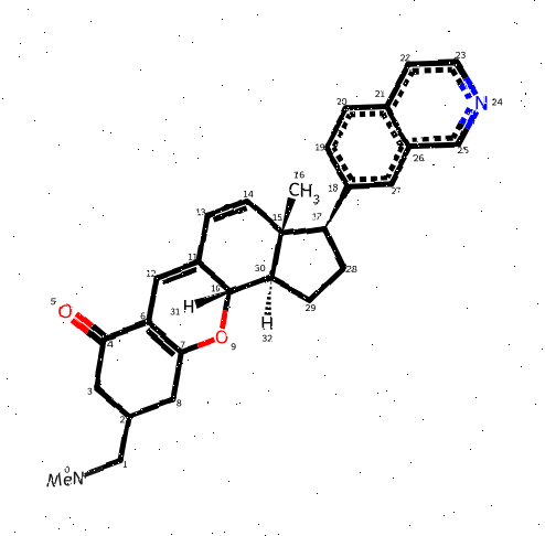 CNCC1CC(=O)C2=C(C1)O[C@@H]1C(=C2)C=C[C@]2(C)[C@@H](c3ccc4ccncc4c3)CC[C@@H]12